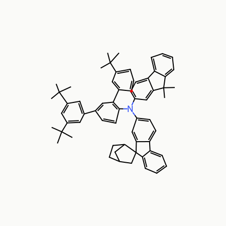 CC(C)(C)c1cccc(-c2cc(-c3cc(C(C)(C)C)cc(C(C)(C)C)c3)ccc2N(c2ccc3c(c2)C(C)(C)c2ccccc2-3)c2ccc3c(c2)C2(CC4CCC2C4)c2ccccc2-3)c1